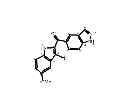 COc1ccc2[nH]c(C(=O)c3ccc4[nH]ncc4c3)c(Cl)c2c1